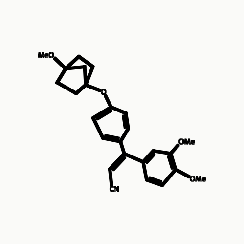 COc1ccc(C(=CC#N)c2ccc(OC34CCC(OC)(CC3)C4)cc2)cc1OC